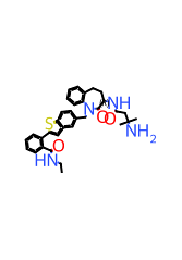 CCNC(=O)c1ccccc1-c1cc2cc(CN3C(=O)[C@H](NC(=O)CC(C)(C)N)CCc4ccccc43)ccc2s1